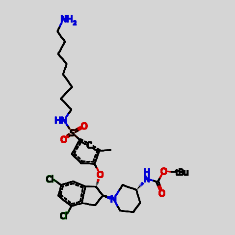 Cc1cc(S(=O)(=O)NCCCCCCCCN)ccc1O[C@H]1c2cc(Cl)cc(Cl)c2C[C@@H]1N1CCC[C@@H](NC(=O)OC(C)(C)C)C1